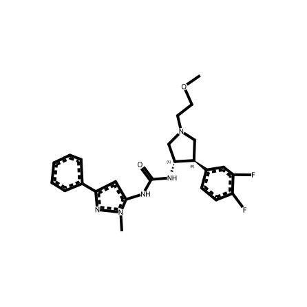 COCCN1C[C@@H](NC(=O)Nc2cc(-c3ccccc3)nn2C)[C@H](c2ccc(F)c(F)c2)C1